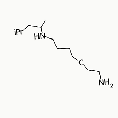 CC(C)CC(C)NCCCCCCCN